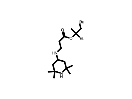 CCC(C)CC(C)(CC)OC(=O)CCNC1CC(C)(C)NC(C)(C)C1